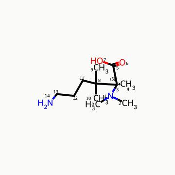 CN(C)[C@](C)(C(=O)O)C(C)(C)CCCN